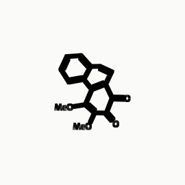 COC1=C(OC)c2c(ccc3ccccc23)C(=O)C1=O